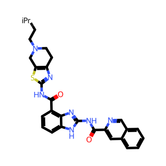 CC(C)CCN1CCc2nc(NC(=O)c3cccc4[nH]c(NC(=O)c5cc6ccccc6cn5)nc34)sc2C1